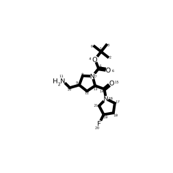 CC(C)(C)OC(=O)N1CC(CN)CC1C(=O)N1CCC(F)C1